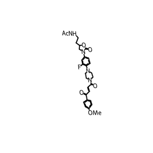 COc1ccc(C(=O)C=CC(=O)N2CCN(c3ccc(N4CC(CCNC(C)=O)OC4=O)cc3F)CC2)cc1